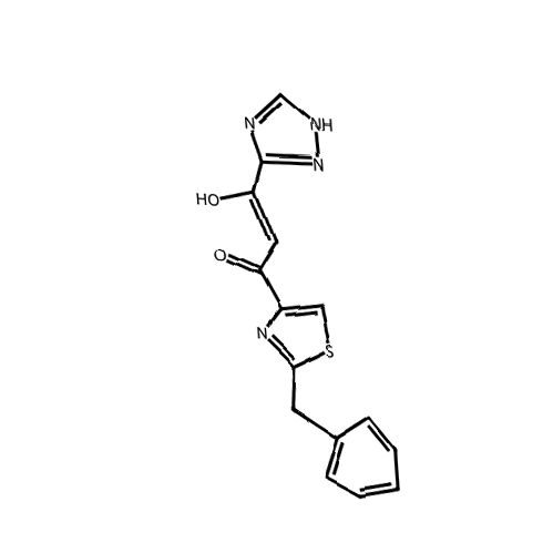 O=C(C=C(O)c1nc[nH]n1)c1csc(Cc2ccccc2)n1